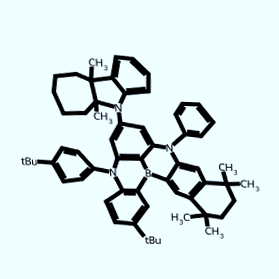 CC(C)(C)c1ccc(N2c3ccc(C(C)(C)C)cc3B3c4cc5c(cc4N(c4ccccc4)c4cc(N6c7ccccc7C7(C)CCCCCC67C)cc2c43)C(C)(C)CCC5(C)C)cc1